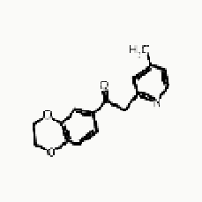 Cc1ccnc(CC(=O)c2ccc3c(c2)OCCO3)c1